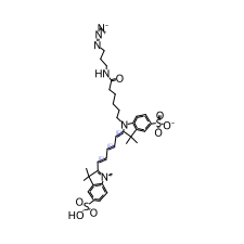 C[N+]1=C(/C=C/C=C/C=C2/N(CCCCCC(=O)NCCCN=[N+]=[N-])c3ccc(S(=O)(=O)[O-])cc3C2(C)C)C(C)(C)c2cc(S(=O)(=O)O)ccc21